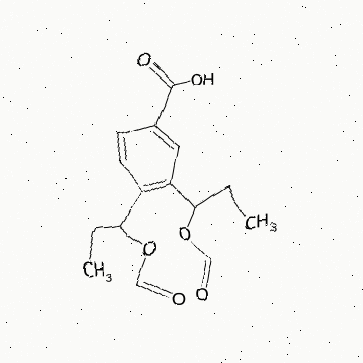 CCC(OC=O)c1ccc(C(=O)O)cc1C(CC)OC=O